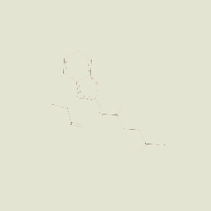 CCC(C(=O)O)n1c(=NC(=O)CCC(=O)O)sc2ccccc21